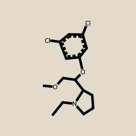 CCN1CCCC1C(COC)Oc1cc(Cl)cc(Cl)c1